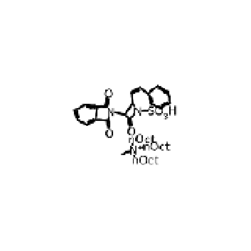 CCCCCCCC[N+](C)(CCCCCCCC)CCCCCCCC.O=C1c2ccccc2C(=O)N1C1C(=O)N(S(=O)(=O)O)C1/C=C\c1ccccc1